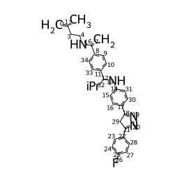 C=C(C)CCNC(=C)c1ccc(C(Nc2ccc(C3=NN=C(c4ccc(F)cc4)C3)cc2)C(C)C)cc1